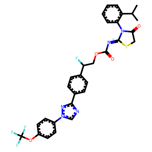 CC(C)c1ccccc1N1C(=O)CS/C1=N\C(=O)OCC(F)c1ccc(-c2ncn(-c3ccc(OC(F)(F)F)cc3)n2)cc1